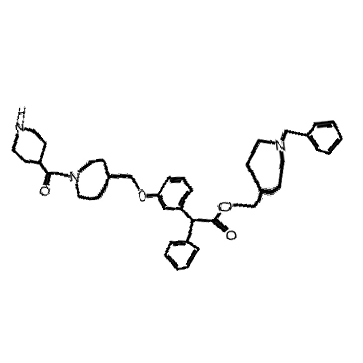 O=C(OCC1CCN(Cc2ccccc2)CC1)C(c1ccccc1)c1cccc(OCC2CCN(C(=O)C3CCNCC3)CC2)c1